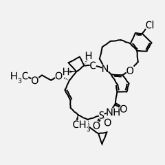 COCCO[C@H]1/C=C/C[C@H](C)[C@@H](CC2CC2)S(=O)(=O)NC(=O)c2ccc3c(c2)N(CCCCc2cc(Cl)ccc2CO3)C[C@@H]2CC[C@H]21